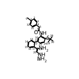 Cc1ccc(CC(=O)Nc2cc(-c3ccccc3/C(N)=C/NN)ccc2SC(C)(C)C)cc1